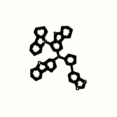 c1cc(-c2ccc3ocnc3c2)cc(N(c2ccc3c(c2)oc2ccccc23)c2cc(-n3c4ccccc4c4ccccc43)c3sc4ccccc4c3c2)c1